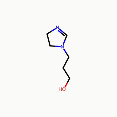 OCCCN1C=NCC1